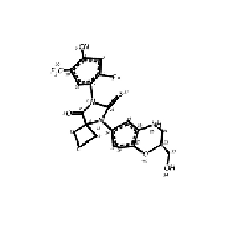 N#Cc1cc(F)c(N2C(=O)C3(CCC3)N(c3ccc4c(c3)NC[C@@H](CO)O4)C2=S)cc1C(F)(F)F